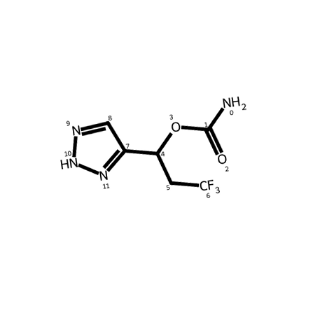 NC(=O)OC(CC(F)(F)F)c1cn[nH]n1